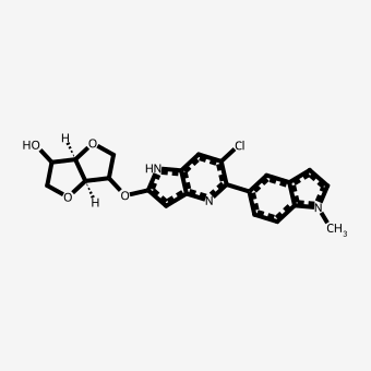 Cn1ccc2cc(-c3nc4cc(OC5CO[C@@H]6C(O)CO[C@H]56)[nH]c4cc3Cl)ccc21